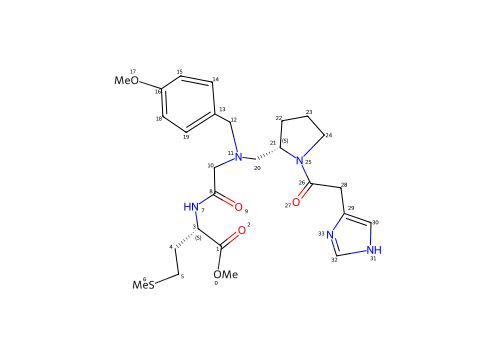 COC(=O)[C@H](CCSC)NC(=O)CN(Cc1ccc(OC)cc1)C[C@@H]1CCCN1C(=O)Cc1c[nH]cn1